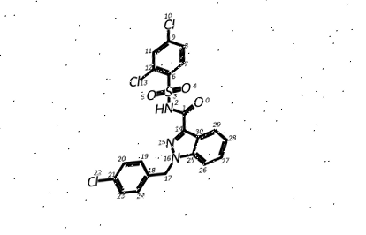 O=C(NS(=O)(=O)c1ccc(Cl)cc1Cl)c1nn(Cc2ccc(Cl)cc2)c2ccccc12